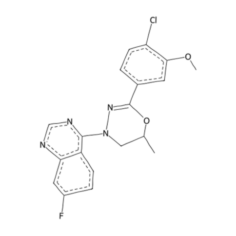 COc1cc(C2=NN(c3ncnc4cc(F)ccc34)CC(C)O2)ccc1Cl